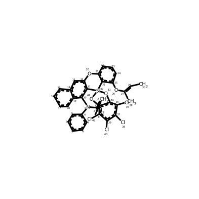 C=C(C)N(c1ccccc1)c1c2c(cc3ccccc13)Oc1cccc(O/C(C)=C/C)c1[Si]21Oc2c(Cl)c(Cl)c(Cl)c(Cl)c2O1